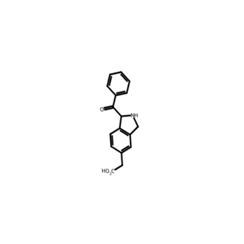 O=C(O)Cc1ccc2c(c1)CNC2C(=O)c1ccccc1